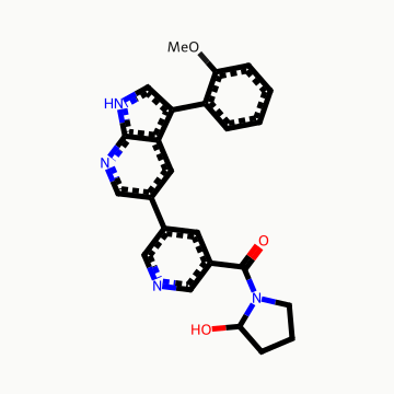 COc1ccccc1-c1c[nH]c2ncc(-c3cncc(C(=O)N4CCCC4O)c3)cc12